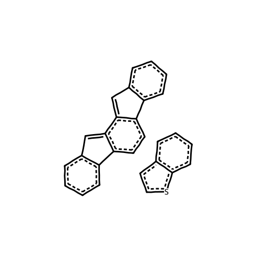 C1=c2c(ccc3c2=Cc2ccccc2-3)-c2ccccc21.c1ccc2sccc2c1